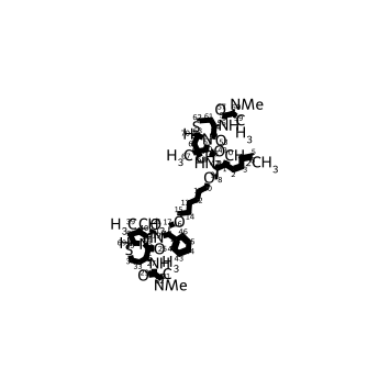 C=C(/C=C\C=C/C)[C@@H](COCCCCCCOC[C@@H](NC(=O)[C@H]1N2C(=O)[C@@H](NC(=O)[C@H](C)NC)CCS[C@H]2CC1(C)C)c1ccccc1)NC(=O)[C@H]1N2C(=O)[C@@H](NC(=O)[C@H](C)NC)CCS[C@H]2CC1(C)C